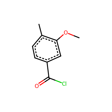 COc1cc(C(=O)Cl)ccc1C